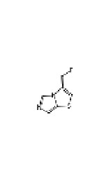 FCc1csc2cncn12